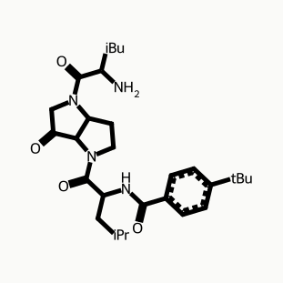 CCC(C)C(N)C(=O)N1CC(=O)C2C1CCN2C(=O)C(CC(C)C)NC(=O)c1ccc(C(C)(C)C)cc1